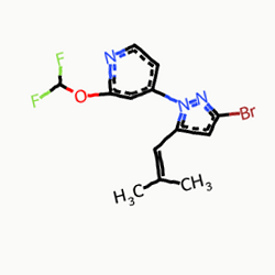 CC(C)=Cc1cc(Br)nn1-c1ccnc(OC(F)F)c1